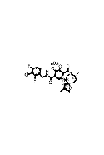 CCCCOc1c2n(cc(C(=O)NCc3ccc(F)c(Cl)c3F)c1=O)[C@@H]1CN(C2=O)[C@@H](C)CC[C@@]12ON=C(C)[C@@H]2C